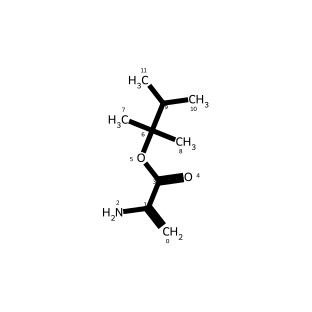 C=C(N)C(=O)OC(C)(C)C(C)C